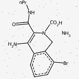 CCCNC(=O)C1=C(N)c2cccc(Br)c2CN1C(=O)O.N